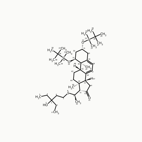 CCC(O)(CC)CCS[C@H](C)[C@H]1C(=O)C[C@H]2C3=CC=C4C[C@@H](O[Si](C)(C)C(C)(C)C)C[C@H](O[Si](C)(C)C(C)(C)C)[C@]4(C)[C@H]3CC[C@]12C